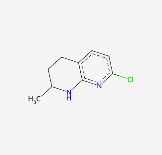 CC1CCc2ccc(Cl)nc2N1